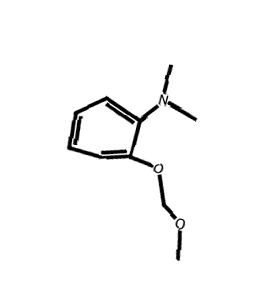 COCOc1ccccc1N(C)C